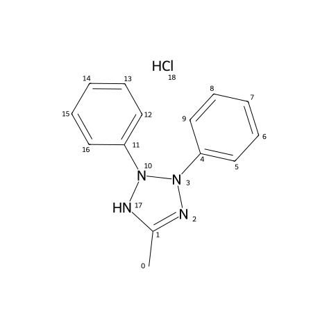 CC1=NN(c2ccccc2)N(c2ccccc2)N1.Cl